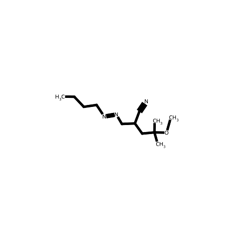 CCCCN=NCC(C#N)CC(C)(C)OC